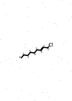 CCCCCCC=CCCl